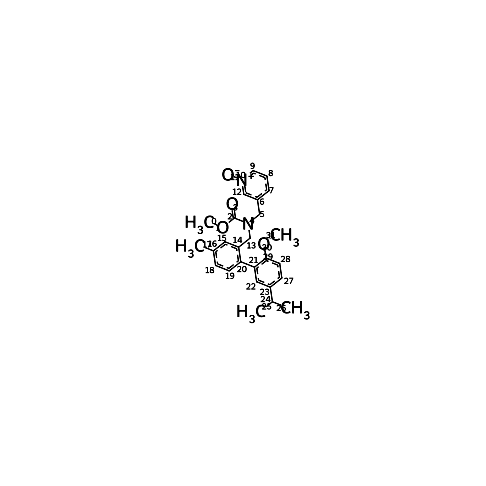 COC(=O)N(Cc1ccc[n+]([O-])c1)Cc1cc(C)ccc1-c1cc(C(C)C)ccc1OC